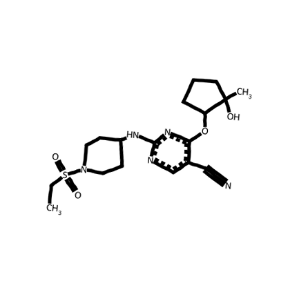 CCS(=O)(=O)N1CCC(Nc2ncc(C#N)c(OC3CCCC3(C)O)n2)CC1